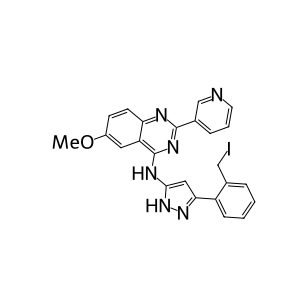 COc1ccc2nc(-c3cccnc3)nc(Nc3cc(-c4ccccc4CI)n[nH]3)c2c1